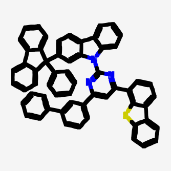 c1ccc(-c2cccc(-c3cc(-c4cccc5c4sc4ccccc45)nc(-n4c5ccccc5c5ccc(C6(c7ccccc7)c7ccccc7-c7ccccc76)cc54)n3)c2)cc1